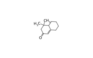 CC1(C)CC(=O)C=C2CCCCC21